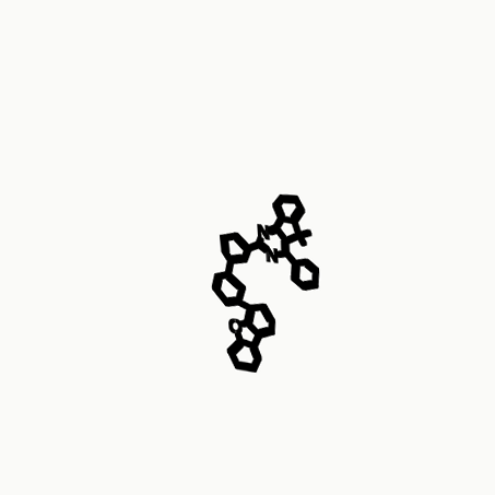 CC1(C)c2ccccc2-c2nc(-c3cccc(-c4cccc(-c5cccc6c5oc5ccccc56)c4)c3)nc(-c3ccccc3)c21